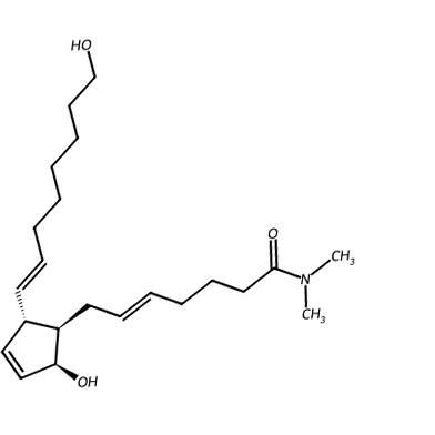 CN(C)C(=O)CCCC=CC[C@@H]1[C@@H](C=CCCCCCCO)C=C[C@@H]1O